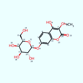 COc1c(O)c2ccc(O[C@@H]3O[C@H](CO)[C@H](O)[C@H](O)[C@H]3O)cc2oc1=O